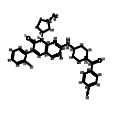 CC(=O)N1CC[C@@H](n2c(=O)c(-c3ccccc3C)cc3cnc(NC4CCN(C(=O)c5ccc(F)cc5)CC4)nc32)C1